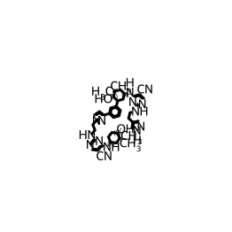 CC1(C)C[C@H](Nc2nc(NCCn3ccc(-c4cccc(C5C[C@@H](Nc6nc(NCCc7cn[nH]c7)ncc6C#N)CC(C)(C)[C@H]5O)c4)n3)ncc2C#N)CC[C@@H]1O